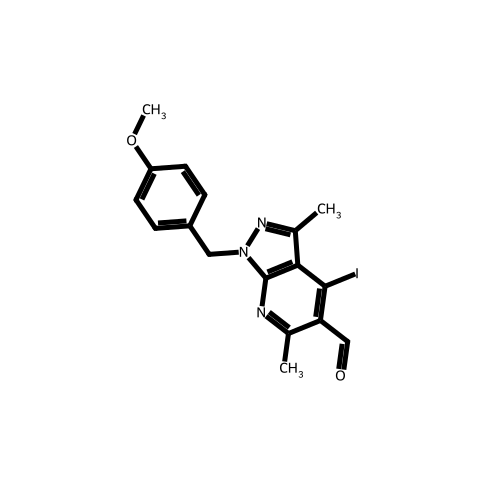 COc1ccc(Cn2nc(C)c3c(I)c(C=O)c(C)nc32)cc1